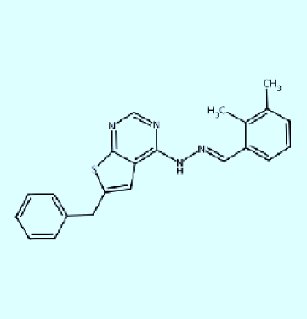 Cc1cccc(C=NNc2ncnc3sc(Cc4ccccc4)cc23)c1C